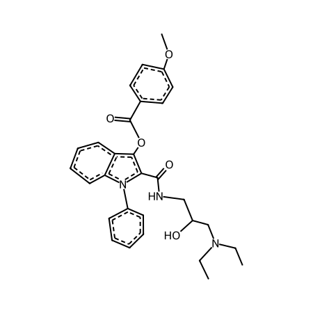 CCN(CC)CC(O)CNC(=O)c1c(OC(=O)c2ccc(OC)cc2)c2ccccc2n1-c1ccccc1